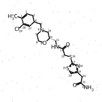 CC1=CCC(CN2CCO[C@@H](CNC(=O)CSc3nc(CC(N)=O)cs3)C2)C=C1Cl